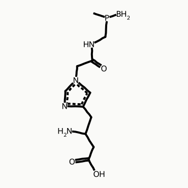 BP(C)CNC(=O)Cn1cnc(CC(N)CC(=O)O)c1